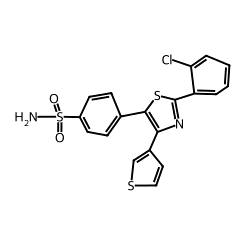 NS(=O)(=O)c1ccc(-c2sc(-c3ccccc3Cl)nc2-c2ccsc2)cc1